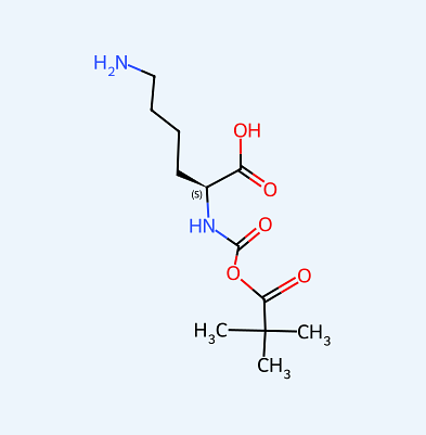 CC(C)(C)C(=O)OC(=O)N[C@@H](CCCCN)C(=O)O